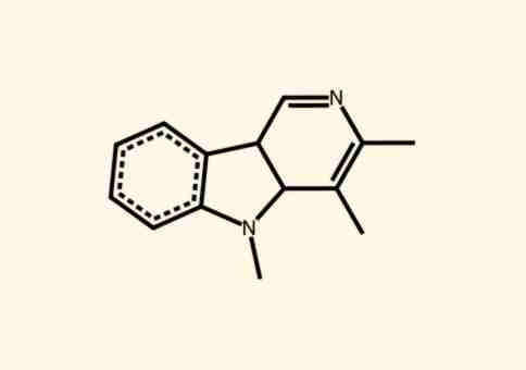 CC1=C(C)C2C(C=N1)c1ccccc1N2C